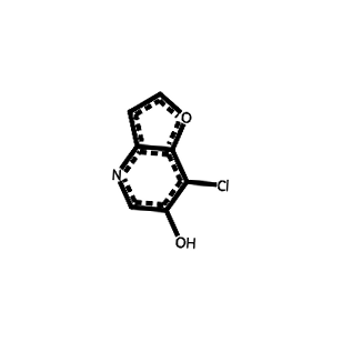 Oc1cnc2ccoc2c1Cl